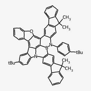 CC(C)(C)c1ccc(N2B3c4cc5c(cc4-n4c6ccc(C(C)(C)C)cc6c6c7c(oc8ccccc87)c(c3c64)-c3cc4c(cc32)C(C)(C)c2ccccc2-4)-c2ccccc2C5(C)C)cc1